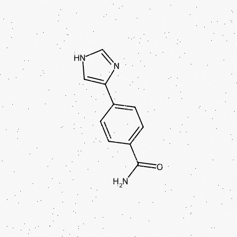 NC(=O)c1ccc(-c2c[nH]cn2)cc1